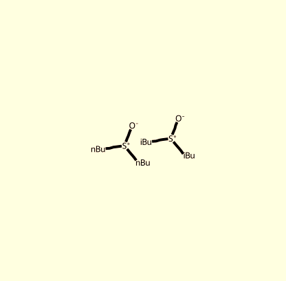 CCC(C)[S+]([O-])C(C)CC.CCCC[S+]([O-])CCCC